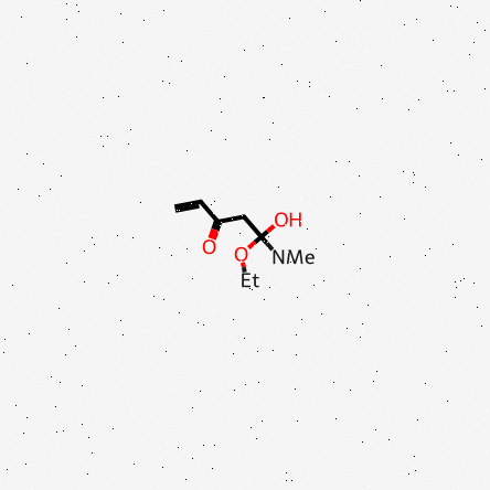 C=CC(=O)CC(O)(NC)OCC